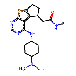 CCNC(=O)CC1CCc2sc3ncnc(N[C@H]4CC[C@H](N(C)C)CC4)c3c21